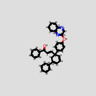 O=C(/C=C/C1(c2ccc(Oc3cnc4ccccc4n3)cc2)C=CC=C(c2ccccc2)C1)c1ccccc1